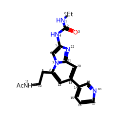 CCNC(=O)Nc1cn2c(CCNC(C)=O)cc(-c3cccnc3)cc2n1